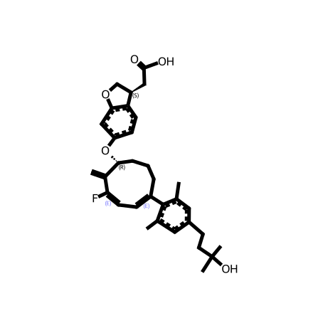 C=C1/C(F)=C\C=C(\c2c(C)cc(CCC(C)(C)O)cc2C)CCC[C@H]1Oc1ccc2c(c1)OC[C@H]2CC(=O)O